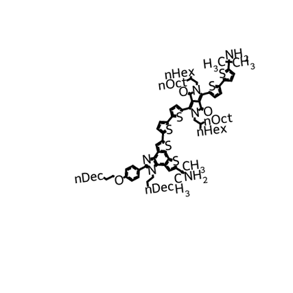 CCCCCCCCCCCCOc1ccc(-c2nc3c4cc(-c5ccc(-c6ccc(C7=C8C(=O)N(CC(CCCCCC)CCCCCCCC)C(c9ccc(-c%10ccc(C(C)(C)N)s%10)s9)=C8C(=O)N7CC(CCCCCC)CCCCCCCC)s6)s5)sc4c4sc(C(C)(C)N)cc4c3n2CCCCCCCCCCCC)cc1